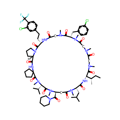 CC[C@H](C)[C@@H]1NC(=O)[C@H](CC(C)C)N(C)C(=O)C[C@@H](C(=O)N2CCCCC2)N(C)C(=O)[C@H](C(C)C)N(C)C(=O)C2(CCCC2)NC(=O)[C@@H]2CCCN2C(=O)[C@H](CCc2ccc(C(F)(F)F)c(Cl)c2)NC(=O)CN(C)C(=O)[C@H](Cc2cccc(Cl)c2)N(C)C(=O)CN(C)C(=O)CN(C)C1=O